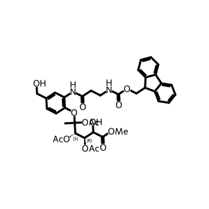 COC(=O)C(O)[C@@H](OC(C)=O)[C@H](OC(C)=O)C(C)(OC(C)=O)Oc1ccc(CO)cc1NC(=O)CCNC(=O)OCC1c2ccccc2-c2ccccc21